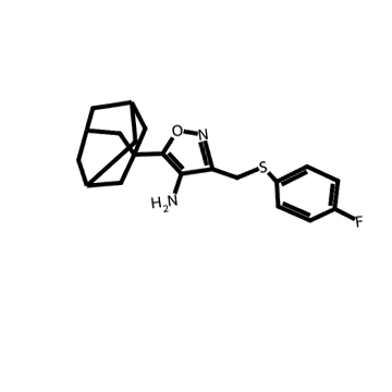 Nc1c(CSc2ccc(F)cc2)noc1C12CC3CC(CC(C3)C1)C2